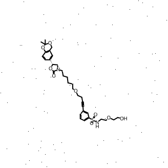 CC1(C)OCc2cc([C@@H]3CN(CCCCCCOCCC#Cc4cccc(S(=O)(=O)NCCOCCO)c4)C(=O)O3)ccc2O1